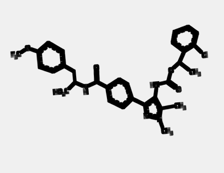 Cc1c(NC(=O)OC(C)c2ccccc2Cl)c(-c2ccc(C(=O)NC(Cc3ccc(OC(F)(F)F)cc3)C(=O)O)cc2)nn1C